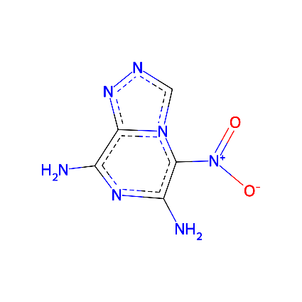 Nc1nc(N)c2nncn2c1[N+](=O)[O-]